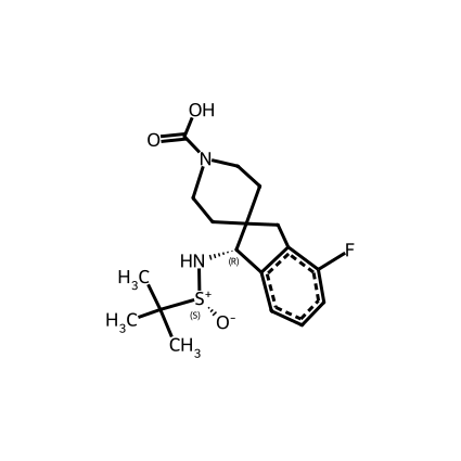 CC(C)(C)[S@@+]([O-])N[C@H]1c2cccc(F)c2CC12CCN(C(=O)O)CC2